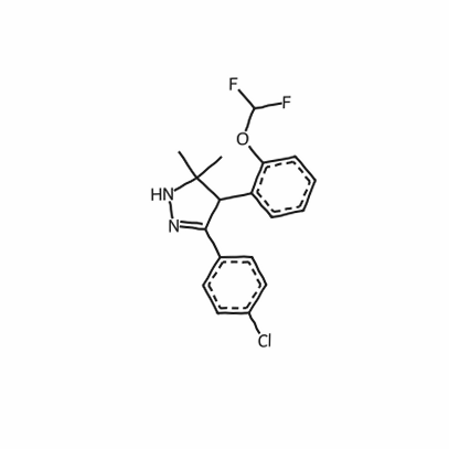 CC1(C)NN=C(c2ccc(Cl)cc2)C1c1ccccc1OC(F)F